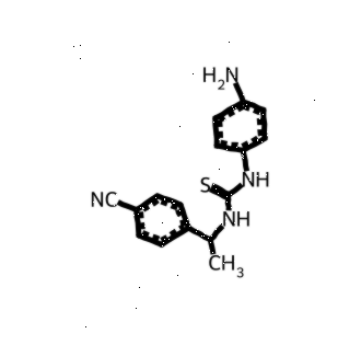 CC(NC(=S)Nc1ccc(N)cc1)c1ccc(C#N)cc1